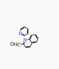 O=Cc1ccc2ccccc2n1.c1ccncc1